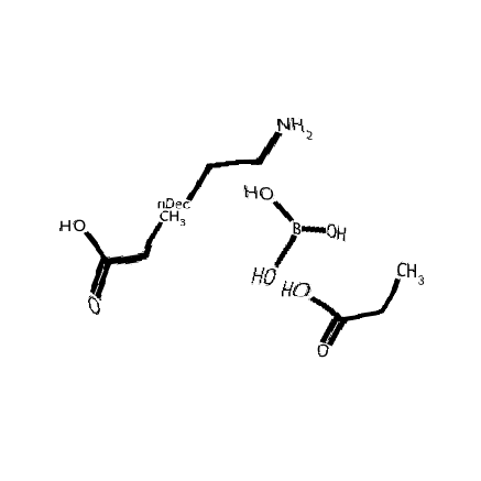 CCC(=O)O.CCC(=O)O.CCCCCCCCCCCCN.OB(O)O